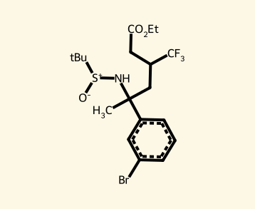 CCOC(=O)CC(CC(C)(N[S+]([O-])C(C)(C)C)c1cccc(Br)c1)C(F)(F)F